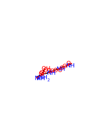 CCC(=O)NCCOCCOCC(=O)NCCOCCOCC(=O)NCCCC[C@H](CC(=O)[C@@H](N)Cc1cnc[nH]1)C(=O)CCC(=O)O